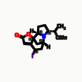 COC(C)[C@H]1CC[C@H]2N1[C@@H]1C[C@@H](I)C3=CC(=O)O[C@@]32C1